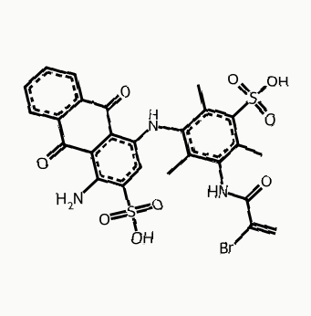 C=C(Br)C(=O)Nc1c(C)c(Nc2cc(S(=O)(=O)O)c(N)c3c2C(=O)c2ccccc2C3=O)c(C)c(S(=O)(=O)O)c1C